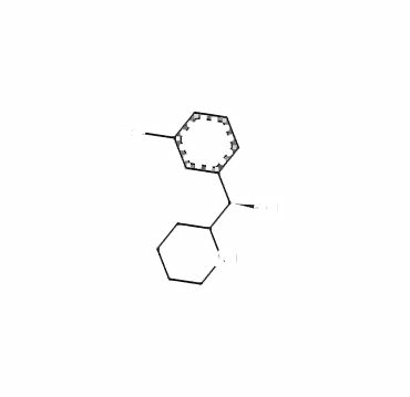 O[C@H](c1cccc(Cl)c1)C1CCCCN1